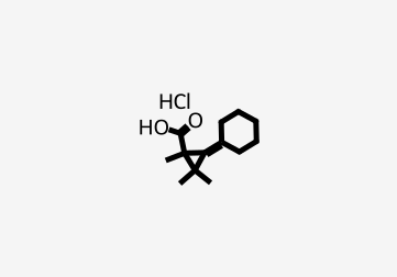 CC1(C)C(=C2CCCCC2)C1(C)C(=O)O.Cl